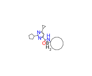 BC1(NC(=O)c2cc(C3CC3)nc(C3CCCC3)n2)CCCCCCCCCCC1